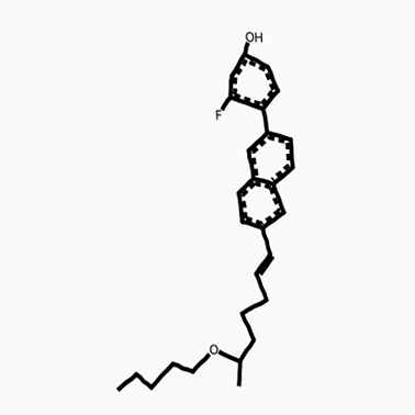 CCCCCOC(C)CCCC=Cc1ccc2cc(-c3ccc(O)cc3F)ccc2c1